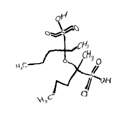 CCCC(C)(OC(C)(CCC)S(=O)(=O)O)S(=O)(=O)O